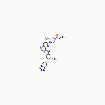 C=CC(=O)N1CCN(c2ccc3ncnc(Nc4ccc(Cc5ccn6ncnc6c5)c(C)c4)c3n2)C(C)C1